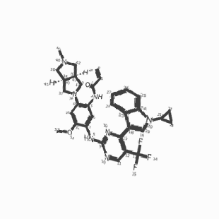 C=CC(=O)Nc1cc(Nc2ncc(C(F)(F)F)c(-c3cn(C4CC4)c4ccccc34)n2)c(OC)cc1N1C[C@H]2CN(C)C[C@H]2C1